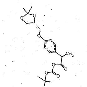 CC(C)(C)OC(=O)OC(=O)C(N)c1ccc(OC[C@@H]2COC(C)(C)O2)cc1